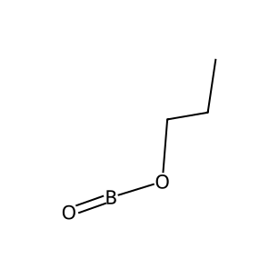 CCCOB=O